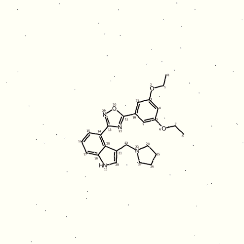 CCOc1cc(OCC)cc(-c2nc(-c3cccc4[nH]cc(CN5CCCC5)c34)no2)c1